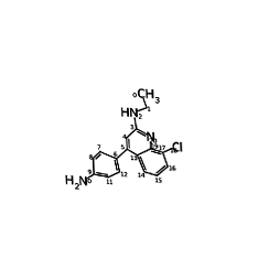 CCNc1cc(-c2ccc(N)cc2)c2cccc(Cl)c2n1